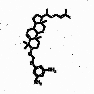 CC(C)=CCCC(C)C1CCC2C3CC=C4C(C)(C)C(OCOc5cc(N)cc(N)c5)CCC4(C)C3CCC12C